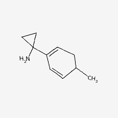 CC1C=CC(C2(N)CC2)=CC1